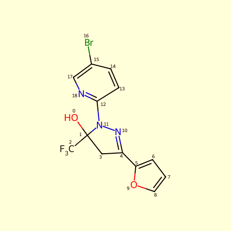 OC1(C(F)(F)F)CC(c2ccco2)=NN1c1ccc(Br)cn1